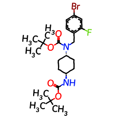 CC(C)(C)OC(=O)N[C@H]1CC[C@H](N(Cc2ccc(Br)cc2F)C(=O)OC(C)(C)C)CC1